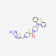 Nc1ncc(CN2CCC(F)(C(=O)N3CCC(N4c5ccccc5Sc5ccccc54)CC3)CC2)s1